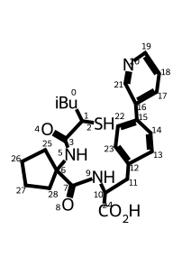 CCC(C)C(S)C(=O)NC1(C(=O)NC(Cc2ccc(-c3cccnc3)cc2)C(=O)O)CCCC1